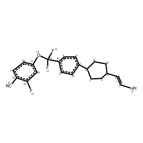 CCC/C=C/C1CCC(c2ccc(C(F)(F)Oc3ccc(C#N)c(F)c3)cc2)CC1